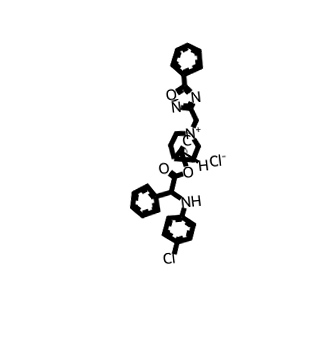 O=C(O[C@H]1C[N+]2(Cc3noc(-c4ccccc4)n3)CCC1CC2)C(Nc1ccc(Cl)cc1)c1ccccc1.[Cl-]